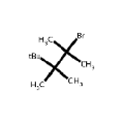 CC(C)(C)C(C)(C)C(C)(C)Br